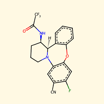 N#Cc1cc2c(cc1F)Oc1ccccc1[C@@H]1[C@H](NC(=O)C(F)(F)F)CCCN21